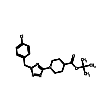 CC(C)(C)OC(=O)C1CCN(c2nnn(Cc3ccc(Cl)cc3)n2)CC1